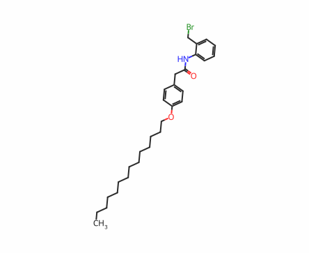 CCCCCCCCCCCCCCOc1ccc(CC(=O)Nc2ccccc2CBr)cc1